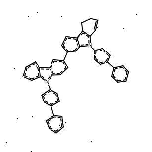 C1=Cc2c(c3ccc(-c4ccc5c(c4)c4ccccc4n5-c4ccc(-c5ccccc5)cc4)cc3n2-c2ccc(-c3ccccc3)cc2)CC1